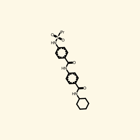 CC(C)S(=O)(=O)Nc1ccc(C(=O)Nc2ccc(C(=O)NC3CCCCC3)cc2)cc1